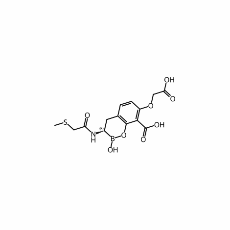 CSCC(=O)N[C@H]1Cc2ccc(OCC(=O)O)c(C(=O)O)c2OB1O